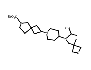 CCOC(=O)N1CCC2(CC(N3CCC(N(CC4(C)COC4)C(C)O)CC3)C2)C1